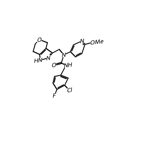 COc1ccc(N(Cc2n[nH]c3c2COCC3)C(=O)Nc2ccc(F)c(Cl)c2)cn1